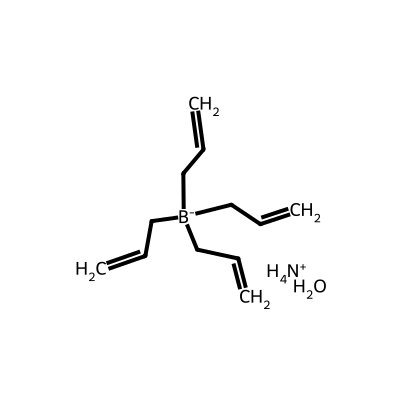 C=CC[B-](CC=C)(CC=C)CC=C.O.[NH4+]